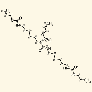 C=CCOC(=O)NCCCCCCNC(=O)N(CCCCCCNC(=O)OCC=C)C(=O)OCC=C